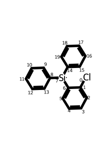 Clc1ccccc1[Si](c1ccccc1)c1ccccc1